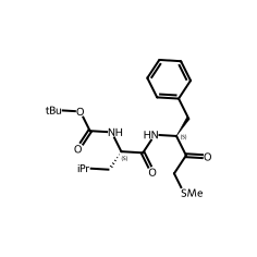 CSCC(=O)[C@H](Cc1ccccc1)NC(=O)[C@H](CC(C)C)NC(=O)OC(C)(C)C